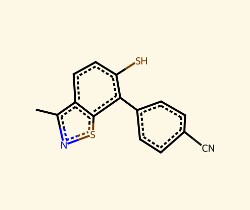 Cc1nsc2c(-c3ccc(C#N)cc3)c(S)ccc12